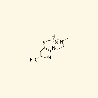 CN1CCN2c3ncc(C(F)(F)F)cc3SC[C@H]2C1